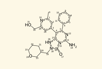 Cc1cc(-c2c(-c3ccccc3)nc(N)[n+]3c(=O)n(CC4CCCOC4)[nH]c23)cc(CO)n1